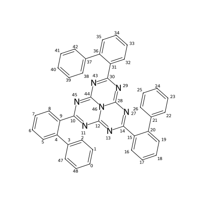 c1ccc(-c2ccccc2C2=NC3=NC(c4ccccc4-c4ccccc4)=NC4=NC(c5ccccc5-c5ccccc5)=NC(=N2)N34)cc1